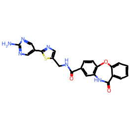 Nc1ncc(-c2ncc(CNC(=O)c3ccc4c(c3)NC(=O)c3ccccc3O4)s2)cn1